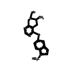 CCCN1Cc2ncnc(Oc3ccc4c(ccn4C(=O)O)c3)c2CC1C